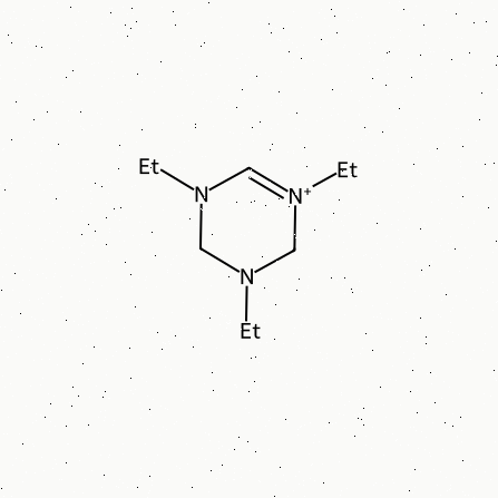 CCN1C=[N+](CC)CN(CC)C1